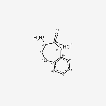 Cl.N[C@H]1COc2ncccc2NC1=O